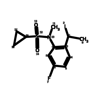 CC(I)c1ccc(F)cc1N(C)S(=O)(=O)C1CC1